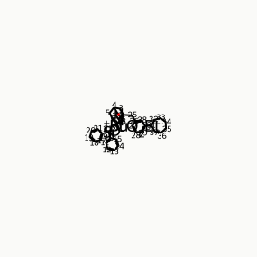 CCOC(=O)N1C2CC3CC1[C@H](O[Si](c1ccccc1)(c1ccccc1)C(C)(C)C)C2N(Cc1cccc(C2CCCCCC2)c1)C3